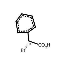 CC[C@@H](C(=O)O)c1ccccc1